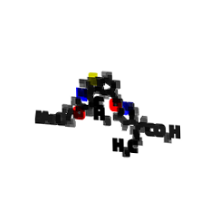 CC#CC(CC(=O)O)c1ccc(OCc2ccc3scc(-c4ncc(OCCOC)cc4C)c3c2)nc1